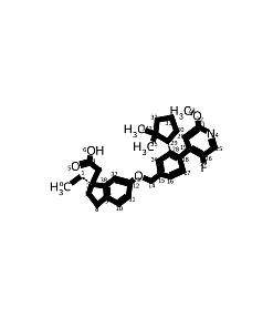 CC[C@@]1(CC(=O)O)CCc2ccc(OCc3ccc(-c4cc(OC)ncc4F)c([C@H]4CCCC4(C)C)c3)cc21